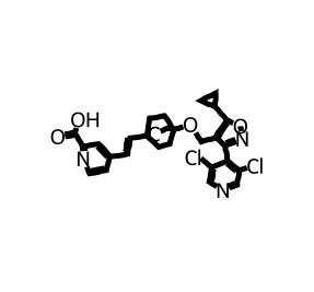 O=C(O)c1cc(C=CC23CCC(OCc4c(-c5c(Cl)cncc5Cl)noc4C4CC4)(CC2)CC3)ccn1